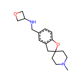 CN1CCC2(CC1)Cc1cc(CNC3COC3)ccc1O2